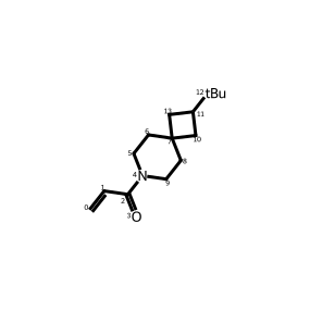 C=CC(=O)N1CCC2(CC1)CC(C(C)(C)C)C2